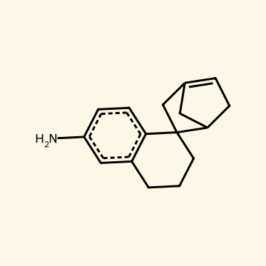 Nc1ccc2c(c1)CCCC21CC2=CCC1C2